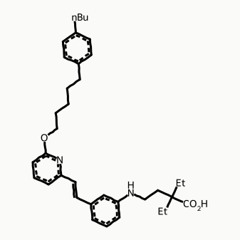 CCCCc1ccc(CCCCCOc2cccc(C=Cc3cccc(NCCC(CC)(CC)C(=O)O)c3)n2)cc1